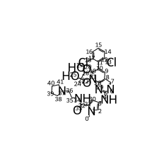 Cn1cc(Nc2ncc3cc(-c4c(Cl)cccc4Cl)c(=O)n(O[C@@](C)(O)CO)c3n2)cc1C(=O)NCCN1CCCC1